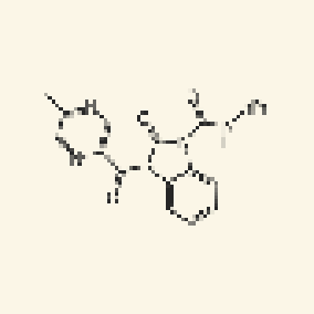 CCCNC(=O)N1C(=O)C(C(=O)c2cnc(C)cn2)c2ccccc21